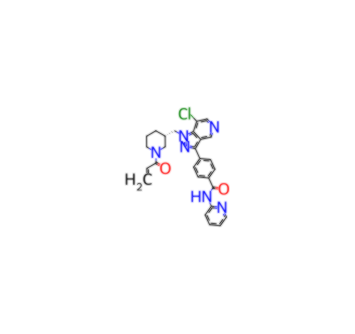 C=CC(=O)N1CCC[C@H](Cn2nc(-c3ccc(C(=O)Nc4ccccn4)cc3)c3cncc(Cl)c32)C1